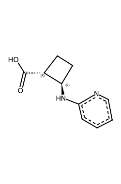 O=C(O)[C@@H]1CC[C@H]1Nc1ccccn1